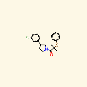 CC(C)(Sc1ccccc1)C(=O)N1CCC(c2cccc(F)c2)C1